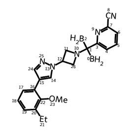 BC(B)(c1cccc(C#N)n1)N1CC(n2cc(-c3cccc(CC)c3OC)cn2)C1